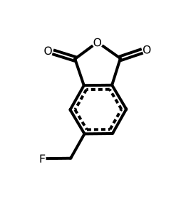 O=C1OC(=O)c2cc(CF)ccc21